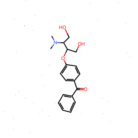 CN(C)C(CO)C(CO)Oc1ccc(C(=O)c2ccccc2)cc1